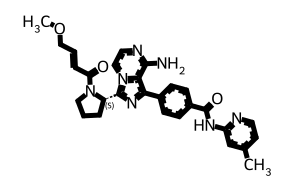 COCC=CC(=O)N1CCC[C@H]1c1nc(-c2ccc(C(=O)Nc3cc(C)ccn3)cc2)c2c(N)nccn12